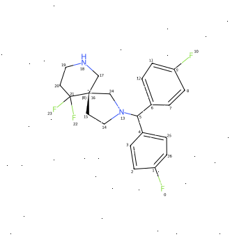 Fc1ccc(C(c2ccc(F)cc2)N2CC[C@@]3(CNCCC3(F)F)C2)cc1